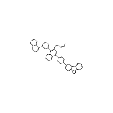 C/C=C\C=C/c1cc(-c2ccc(-c3ccc4oc5ccccc5c4c3)cc2)c2ccccc2c1-c1cccc(-c2cccc3ccccc23)c1